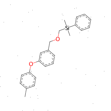 Cc1ccc(Oc2cccc(COC[Si](C)(C)c3ccccc3)c2)cc1